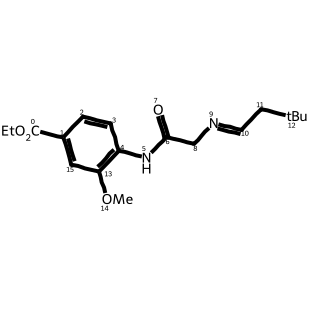 CCOC(=O)c1ccc(NC(=O)C/N=C/CC(C)(C)C)c(OC)c1